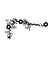 CC(C)(C)OC(=O)NCc1cccc(NC(=O)c2nc(-c3ccc(S(=O)(=O)C(C)(C)CC(C)(CCCCCCOCc4ccccc4)OPI)cc3)cnc2N)c1O